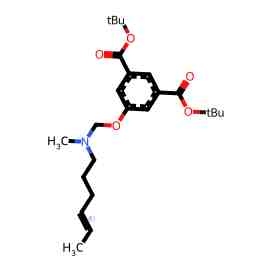 C/C=C/CCCN(C)COc1cc(C(=O)OC(C)(C)C)cc(C(=O)OC(C)(C)C)c1